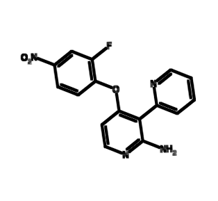 Nc1nccc(Oc2ccc([N+](=O)[O-])cc2F)c1-c1ccccn1